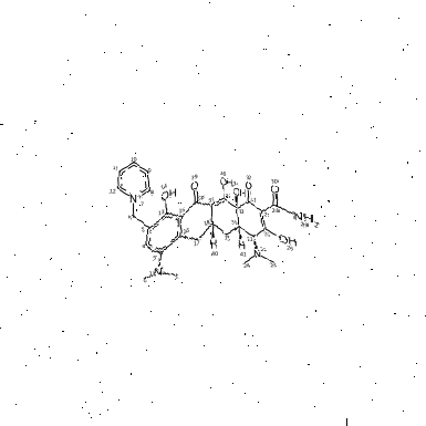 CN(C)c1cc(C[n+]2ccccc2)c(O)c2c1C[C@H]1C[C@H]3[C@H](N(C)C)C(O)=C(C(N)=O)C(=O)[C@@]3(O)C(O)=C1C2=O